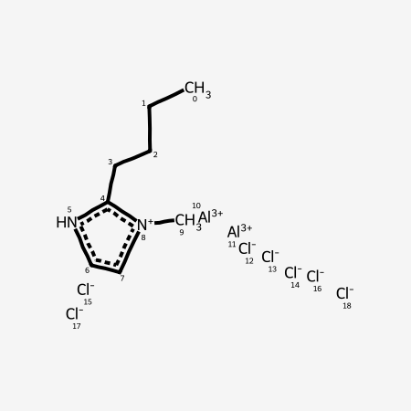 CCCCc1[nH]cc[n+]1C.[Al+3].[Al+3].[Cl-].[Cl-].[Cl-].[Cl-].[Cl-].[Cl-].[Cl-]